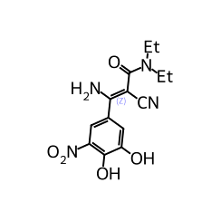 CCN(CC)C(=O)/C(C#N)=C(\N)c1cc(O)c(O)c([N+](=O)[O-])c1